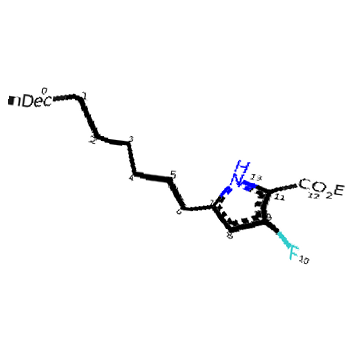 CCCCCCCCCCCCCCCCc1cc(F)c(C(=O)OCC)[nH]1